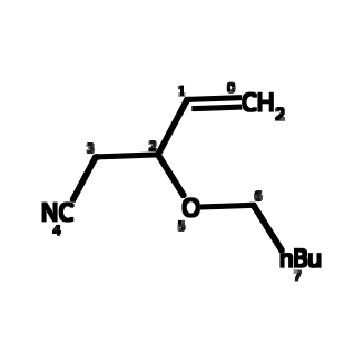 C=CC(CC#N)OCCCCC